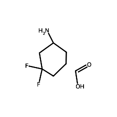 NC1CCCC(F)(F)C1.O=CO